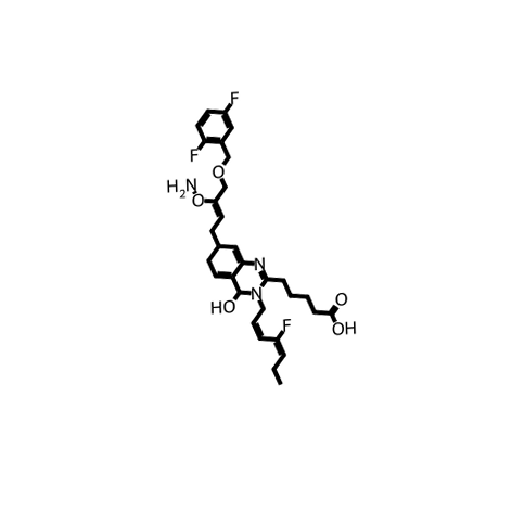 CC/C=C(F)\C=C/CN1C(CCCCC(=O)O)=NC2=CC(C/C=C(/COCc3cc(F)ccc3F)ON)CC=C2C1O